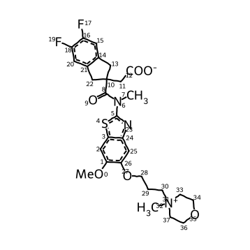 COc1cc2sc(N(C)C(=O)C3(CC(=O)[O-])Cc4cc(F)c(F)cc4C3)nc2cc1OCCC[N+]1(C)CCOCC1